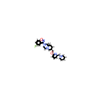 Fc1ccc2onc(N3CCN4C[C@H](COc5cccc(CN6CCCCC6)n5)CC[C@H]4C3)c2c1